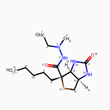 CN(C[C]=O)NC(=O)[C@@]1(CCCCC(=O)O)SC[C@@H]2NC(=O)N[C@@H]21